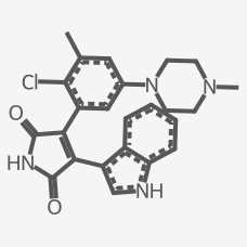 Cc1cc(N2CCN(C)CC2)cc(C2=C(c3c[nH]c4ccccc34)C(=O)NC2=O)c1Cl